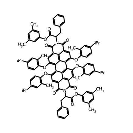 Cc1cc(C)cc(OC(=O)C(Cc2ccccc2)N2C(=O)c3cc(Oc4ccc(C(C)C)cc4C)c4c5c(Oc6ccc(C(C)C)cc6C)cc6c7c(cc(Oc8ccc(C(C)C)cc8C)c(c8c(Oc9ccc(C(C)C)cc9C)cc(c3c48)C2=O)c75)C(=O)N(C(Cc2ccccc2)C(=O)Oc2cc(C)cc(C)c2)C6=O)c1